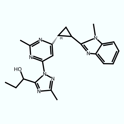 CCC(O)c1nc(C)nn1-c1cc([C@@H]2CC2c2nc3ccccc3n2C)nc(C)n1